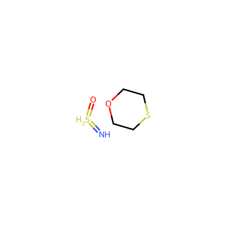 C1CSCCO1.N=[SH2]=O